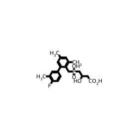 Cc1cc(C)c(CP(=O)(O)CC(O)CC(=O)O)c(-c2ccc(F)c(C)c2)c1